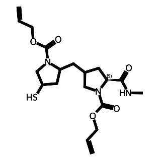 C=CCOC(=O)N1CC(S)CC1CC1C[C@@H](C(=O)NC)N(C(=O)OCC=C)C1